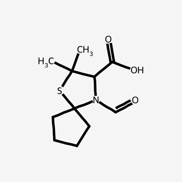 CC1(C)SC2(CCCC2)N(C=O)C1C(=O)O